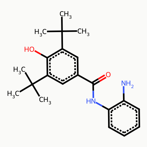 CC(C)(C)c1cc(C(=O)Nc2ccccc2N)cc(C(C)(C)C)c1O